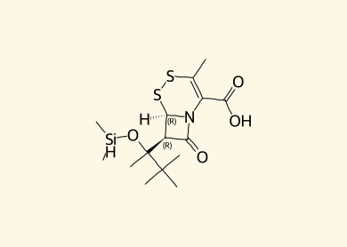 CC1=C(C(=O)O)N2C(=O)[C@@H](C(C)(O[SiH](C)C)C(C)(C)C)[C@H]2SS1